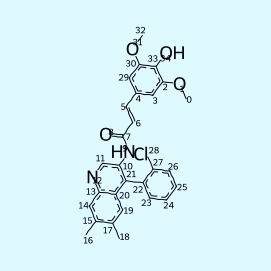 COc1cc(C=CC(=O)Nc2cnc3cc(C)c(C)cc3c2-c2ccccc2Cl)cc(OC)c1O